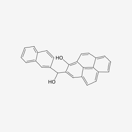 Oc1c(C(O)c2ccc3ccccc3c2)cc2ccc3cccc4ccc1c2c34